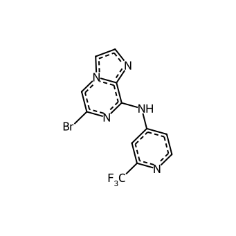 FC(F)(F)c1cc(Nc2nc(Br)cn3ccnc23)ccn1